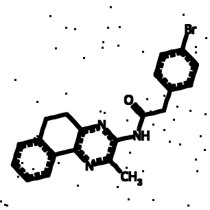 Cc1nc2c(nc1NC(=O)Cc1ccc(Br)cc1)CCc1ccccc1-2